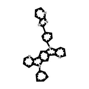 c1ccc(-n2c3cc4c5ncccc5n(-c5ccc(-c6nc7ncccc7o6)cc5)c4cc3c3ncccc32)cc1